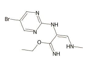 CCOC(=N)/C(=C\NC)Nc1ncc(Br)cn1